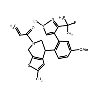 C=CC(=O)N1Cc2sc(C)cc2C(c2ccc(OC)cc2-c2cn(CC)nc2C(F)(P)P)C1